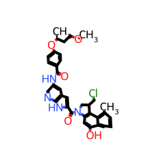 COCC[C@H](C)Oc1ccc(C(=O)Nc2cnc3[nH]c(C(=O)N4CC(CCl)c5c4cc(O)c4cccc(C)c54)cc3c2)cc1